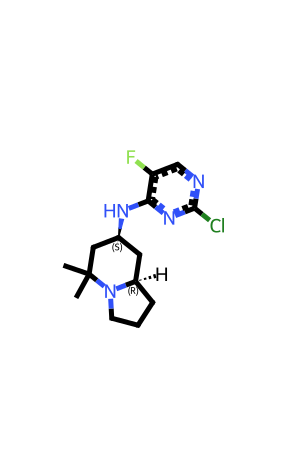 CC1(C)C[C@@H](Nc2nc(Cl)ncc2F)C[C@H]2CCCN21